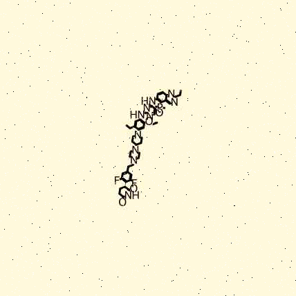 CCOc1cc(N2CCC(N3CCN(CCc4cc(F)c([C@H]5CCC(=O)NC5=O)c(F)c4)CC3)CC2)c(CC)cc1Nc1nccc(Nc2ccc3nc(CC)ncc3c2P(C)(C)=O)n1